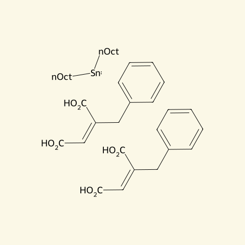 CCCCCCC[CH2][Sn][CH2]CCCCCCC.O=C(O)/C=C(/Cc1ccccc1)C(=O)O.O=C(O)/C=C(/Cc1ccccc1)C(=O)O